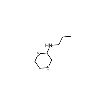 CCCNC1CSCCS1